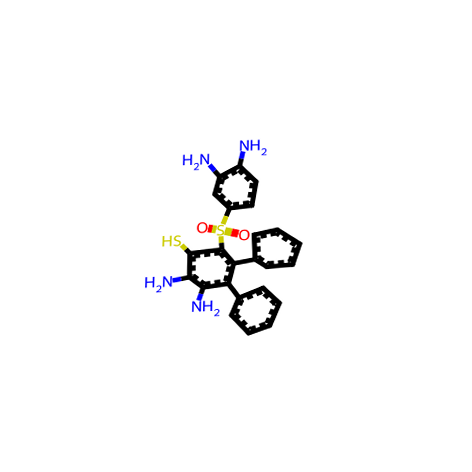 Nc1ccc(S(=O)(=O)c2c(S)c(N)c(N)c(-c3ccccc3)c2-c2ccccc2)cc1N